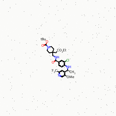 CCOC(=O)CC1(CNC(=O)c2ccc(N[C@@H](C)c3cc(C(F)(F)F)ncc3OC)c(Cl)c2)CCN(C(=O)OC(C)(C)C)CC1